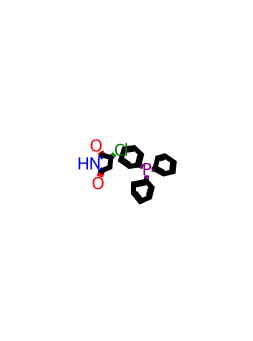 O=C1CC(Cl)C(=O)N1.c1ccc(P(c2ccccc2)c2ccccc2)cc1